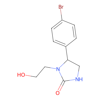 O=C1NCC(c2ccc(Br)cc2)N1CCO